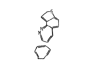 C1=CC=CCC=C1.C1=Cc2ccc3c(c2=NN=C1)=CCS3